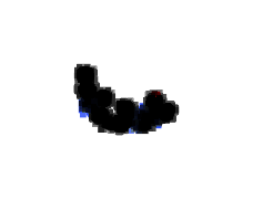 CC(C)(Cc1ccc(-c2nc3ccc4nc(-c5ccccc5)c(-c5ccccc5)nc4c3nc2-c2ccccc2)cc1)c1ccc(-c2nnc(-c3ccc(-c4ccccc4)cc3)n2-c2ccccc2)cc1